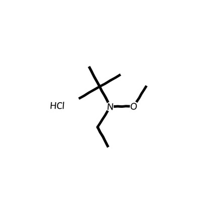 CCN(OC)C(C)(C)C.Cl